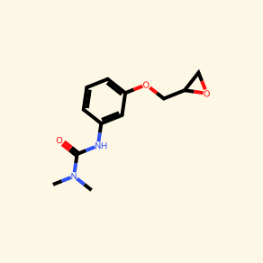 CN(C)C(=O)Nc1cccc(OCC2CO2)c1